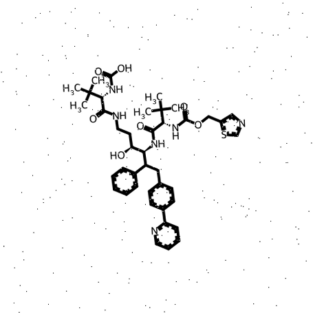 CC(C)(C)[C@H](NC(=O)O)C(=O)NCC[C@H](O)[C@@H](NC(=O)[C@@H](NC(=O)OCc1cncs1)C(C)(C)C)C(Cc1ccc(-c2ccccn2)cc1)c1ccccc1